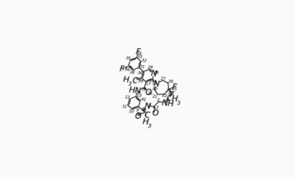 CNCC(=O)N=S(C)(=O)c1cccc(NC(=O)c2c(N3CCCC(F)(F)CC3)ncc(-c3cc(F)cc(F)c3)c2C)c1